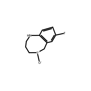 [O-][S+]1CCCNc2ccc(F)cc2C1